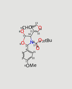 COc1ccc(C2OC(OC=O)C(c3ccoc3)N2C(=O)OC(C)(C)C)cc1